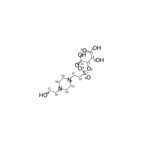 O=C(O)C(O)C(OS(=O)(=O)CCN1CCN(CCO)CC1)C(=O)O